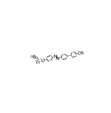 CCCCC(CC)COc1ccc(/N=N/c2ccc(-c3ccc(C#N)cc3)cc2)cc1